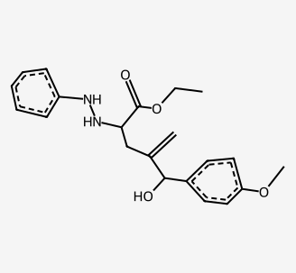 C=C(CC(NNc1ccccc1)C(=O)OCC)C(O)c1ccc(OC)cc1